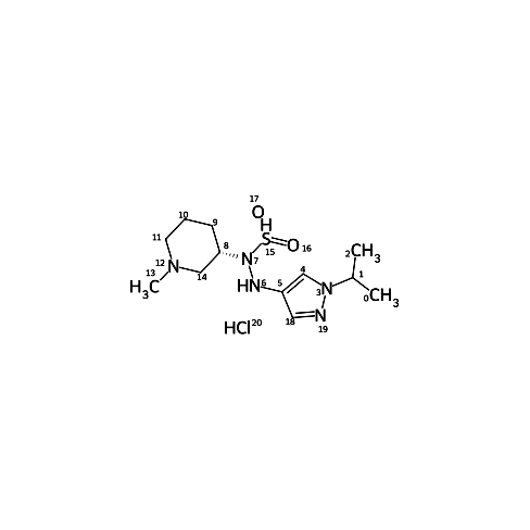 CC(C)n1cc(NN([C@H]2CCCN(C)C2)[SH](=O)=O)cn1.Cl